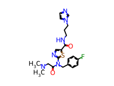 CN(C)CC(=O)N(Cc1ccc(F)cc1)c1ncc(C(=O)NCCCn2ccnc2)s1